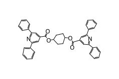 O=C(OC1CCC(OC(=O)c2cc(-c3ccccc3)nc(-c3ccccc3)c2)CC1)c1cc(-c2ccccc2)nc(-c2ccccc2)c1